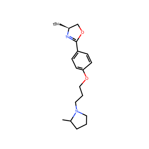 CC1CCCN1CCCOc1ccc(C2=N[C@@H](C(C)(C)C)CO2)cc1